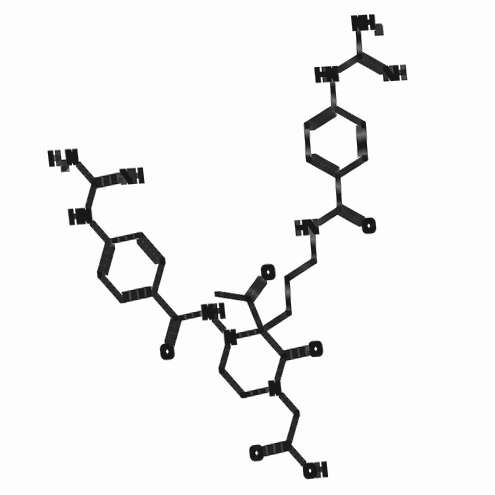 CC(=O)C1(CCCNC(=O)c2ccc(NC(=N)N)cc2)C(=O)N(CC(=O)O)CCN1NC(=O)c1ccc(NC(=N)N)cc1